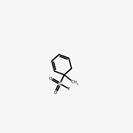 CC1(S(=O)(=O)F)C=CC=CC1